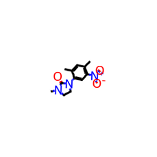 Cc1cc(C)c([N+](=O)[O-])cc1N1CCN(C)C1=O